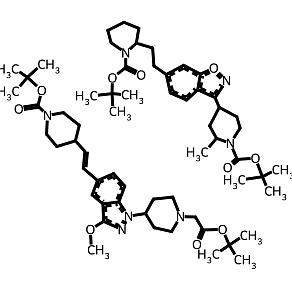 CC1CC(c2noc3cc(CCC4CCCCN4C(=O)OC(C)(C)C)ccc23)CCN1C(=O)OC(C)(C)C.COc1nn(C2CCN(CC(=O)OC(C)(C)C)CC2)c2ccc(C=CC3CCN(C(=O)OC(C)(C)C)CC3)cc12